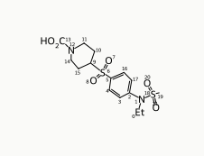 CCN(c1ccc(S(=O)(=O)C2CCN(C(=O)O)CC2)cc1)S(C)(=O)=O